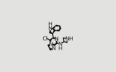 Clc1c(-c2c[nH]c3ccccc23)nc(NC2CNC2)c2nccn12